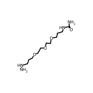 NNCCCOCCOCCOCCCNC(N)=O